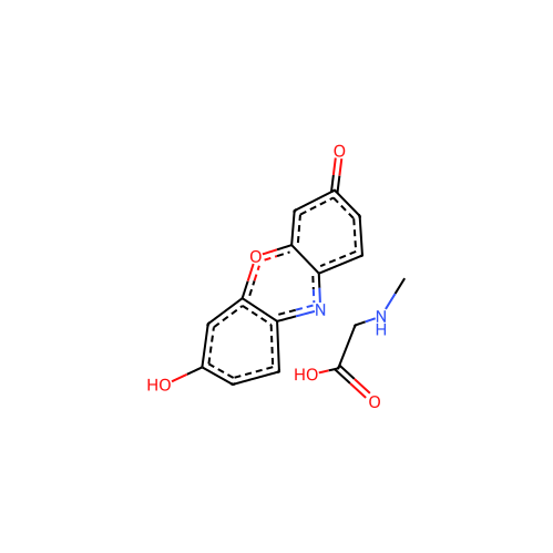 CNCC(=O)O.O=c1ccc2nc3ccc(O)cc3oc-2c1